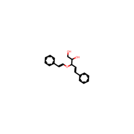 OCC(O)C(C=Cc1ccccc1)OC=Cc1ccccc1